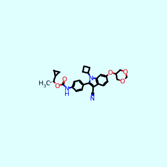 C[C@@H](OC(=O)Nc1ccc(-c2c(C#N)c3ccc(OC4COCOC4)cc3n2C2CCC2)cc1)C1CC1